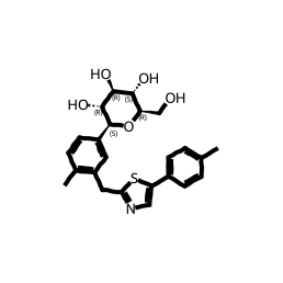 Cc1ccc(-c2cnc(Cc3cc([C@@H]4O[C@H](CO)[C@@H](O)[C@H](O)[C@H]4O)ccc3C)s2)cc1